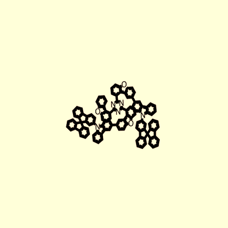 c1ccc2c(c1)-c1ccccc1C21c2ccccc2-c2ccc(-n3c4ccccc4c4cc(-c5ccc6oc7cccc(-c8nc(-c9cccc%10oc%11ccccc%11c9%10)nc(-c9cccc%10oc%11ccc(-c%12ccc%13c(c%12)c%12ccccc%12n%13-c%12ccc%13c(c%12)C%12(c%14ccccc%14-c%14ccccc%14%12)c%12ccccc%12-%13)cc%11c9%10)n8)c7c6c5)ccc43)cc21